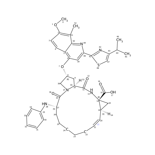 COc1ccc2c(O[C@@H]3C[C@H]4C(=O)N[C@]5(C(=O)O)C[C@H]5/C=C\CCCCC[C@H](Nc5ccccc5)C(=O)N4C3)cc(-c3nc(C(C)C)cs3)nc2c1C